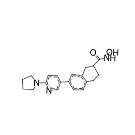 O=C(NO)C1CCc2ccc(-c3ccc(N4CCCC4)nc3)cc2C1